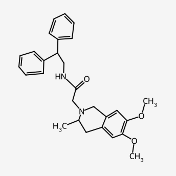 COc1cc2c(cc1OC)CN(CC(=O)NCC(c1ccccc1)c1ccccc1)C(C)C2